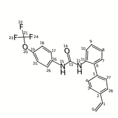 C=Cc1ccc(-c2ccccc2NC(=O)Nc2ccc(OC(F)(F)F)cc2)cc1